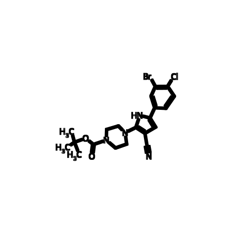 CC(C)(C)OC(=O)N1CCN(c2[nH]c(-c3ccc(Cl)c(Br)c3)cc2C#N)CC1